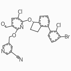 N#Cc1cncc(COc2nc(O[C@H]3CCc4c(-c5cccc(Br)c5Cl)cccc43)c(Cl)cc2C=O)c1